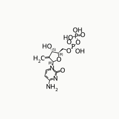 C=C1[C@H](n2ccc(N)nc2=O)O[C@H](COP(=O)(O)OP(=O)(O)O)[C@H]1O